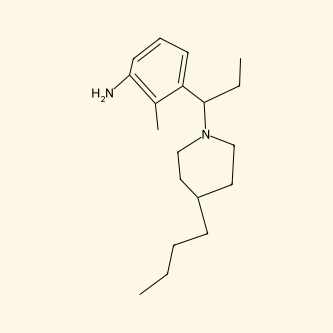 CCCCC1CCN(C(CC)c2cccc(N)c2C)CC1